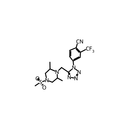 CC1CN(S(C)(=O)=O)CC(C)N1Cc1nnnn1-c1ccc(C#N)c(C(F)(F)F)c1